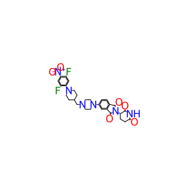 O=C1CCC(N2C(=O)c3ccc(N4CCN(CC5CCN(c6cc(F)c([N+](=O)[O-])cc6F)CC5)CC4)cc3C2=O)C(=O)N1